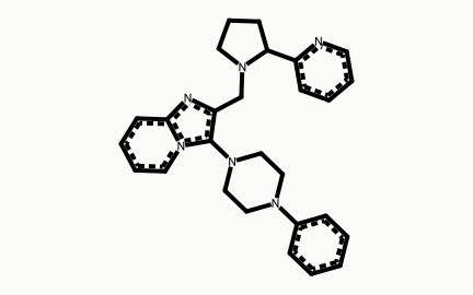 c1ccc(N2CCN(c3c(CN4CCCC4c4ccccn4)nc4ccccn34)CC2)cc1